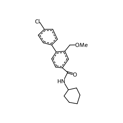 COCc1cc(C(=O)NC2CCCCC2)ccc1-c1ccc(Cl)cc1